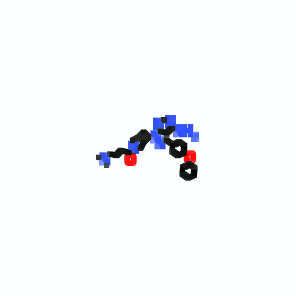 CN(C)CC=CC(=O)N1CC2CC(n3nc(-c4ccc(Oc5ccccc5)cc4)c4c(N)ncnc43)C2C1